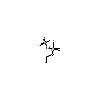 CCOP(=O)(F)NS(=O)(=O)F